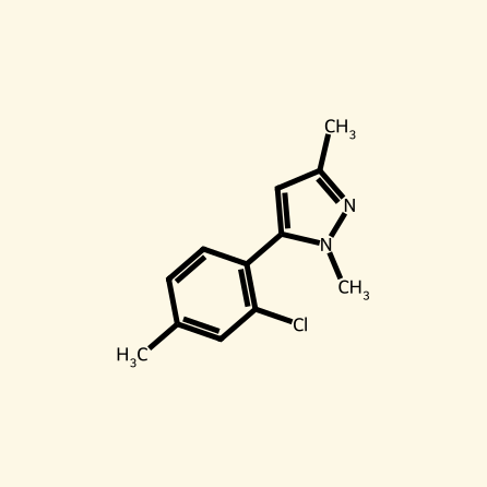 Cc1ccc(-c2cc(C)nn2C)c(Cl)c1